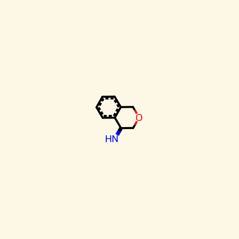 N=C1COCc2ccccc21